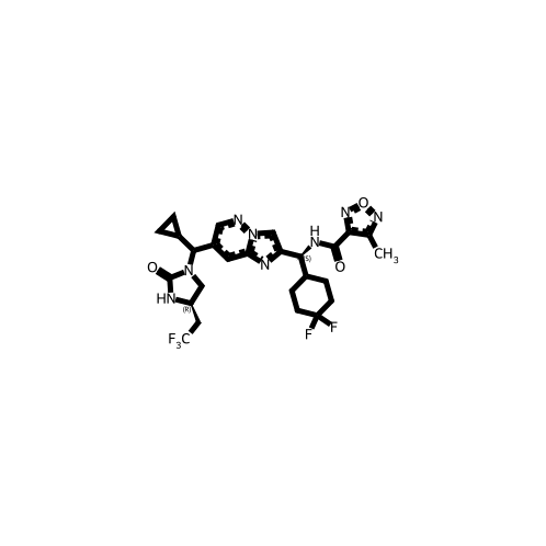 Cc1nonc1C(=O)N[C@H](c1cn2ncc(C(C3CC3)N3C[C@@H](CC(F)(F)F)NC3=O)cc2n1)C1CCC(F)(F)CC1